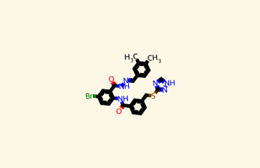 Cc1ccc(C=NNC(=O)c2cc(Br)ccc2NC(=O)c2cccc(CSc3nc[nH]n3)c2)cc1C